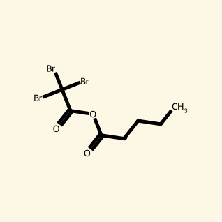 CCC[CH]C(=O)OC(=O)C(Br)(Br)Br